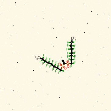 C=C(S(=O)(=O)C(F)(F)C(F)(F)C(F)(F)C(F)(F)C(F)(F)C(F)(F)C(F)(F)C(F)(F)F)S(=O)(=O)C(F)(F)C(F)(F)C(F)(F)C(F)(F)C(F)(F)C(F)(F)C(F)(F)C(F)(F)F